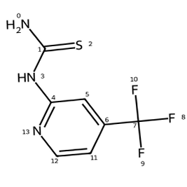 NC(=S)Nc1cc(C(F)(F)F)ccn1